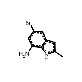 Cc1cc2cc(Br)cc(N)c2[nH]1